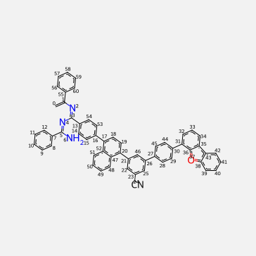 C=C(/N=C(\N=C(/N)c1ccccc1)c1ccc(-c2ccc(-c3cc(C#N)cc(-c4ccc(-c5cccc6c5oc5ccccc56)cc4)c3)c3ccccc23)cc1)c1ccccc1